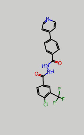 O=C(NNC(=O)c1ccc(Cl)c(C(F)(F)F)c1)c1ccc(-c2ccncc2)cc1